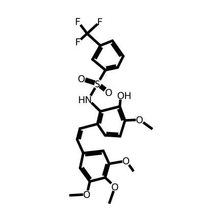 COc1ccc(/C=C\c2cc(OC)c(OC)c(OC)c2)c(NS(=O)(=O)c2cccc(C(F)(F)F)c2)c1O